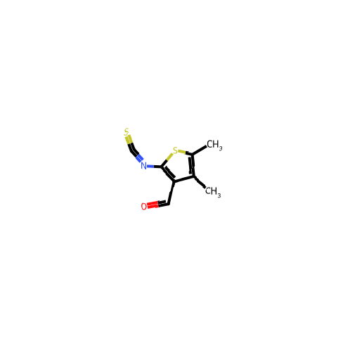 Cc1sc(N=C=S)c(C=O)c1C